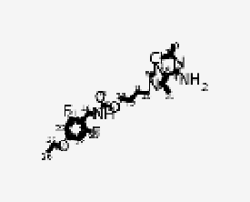 C=C(Cl)/N=C(/N)c1ncn(CCCCOC(=O)NCc2c(F)cc(OCC)cc2F)c1C